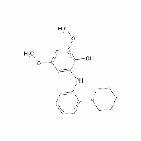 COc1cc(OC)c(O)c(Pc2ccccc2N2CCCCC2)c1